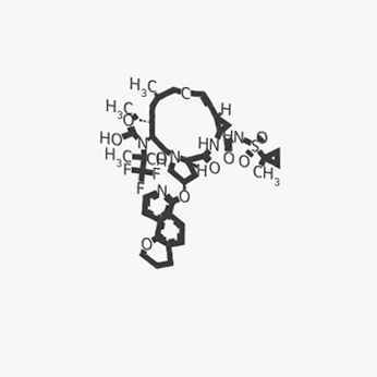 CC[C@@H]1C[C@@H](C)CC/C=C\[C@@H]2C[C@@]2(C(=O)NS(=O)(=O)C2(C)CC2)NC(=O)[C@@H]2C[C@@H](Oc3nccc4c5c(ccc34)CCCO5)CN2C(=O)[C@H]1N(C(=O)O)C(C)(C)C(F)(F)F